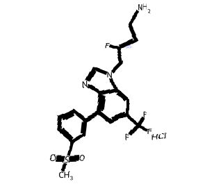 CS(=O)(=O)c1cccc(-c2cc(C(F)(F)F)cc3c2ncn3C/C(F)=C/CN)c1.Cl